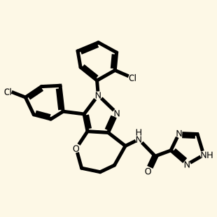 O=C(NC1CCCOc2c1nn(-c1ccccc1Cl)c2-c1ccc(Cl)cc1)c1nc[nH]n1